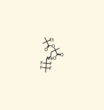 CCC(C)(C)C(=O)OC(C)(CCCC(F)(F)C(C)(F)F)C(=O)OC